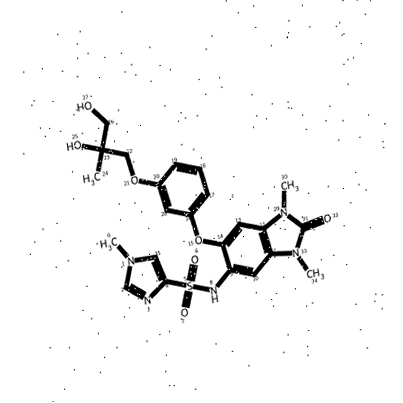 Cn1cnc(S(=O)(=O)Nc2cc3c(cc2Oc2cccc(OCC(C)(O)CO)c2)n(C)c(=O)n3C)c1